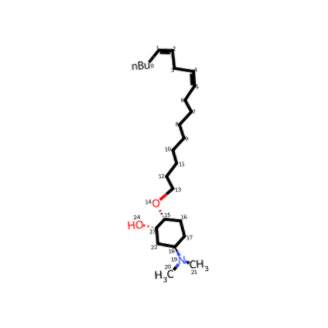 CCCC/C=C\C/C=C\CCCCCCCCO[C@@H]1CC[C@@H](N(C)C)C[C@@H]1O